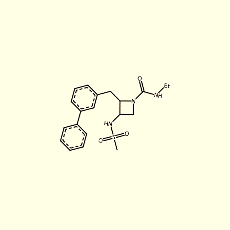 CCNC(=O)N1CC(NS(C)(=O)=O)C1Cc1cccc(-c2ccccc2)c1